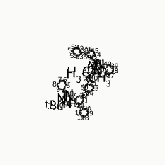 CC(C)(C)c1nc(-c2ccccc2)nc(-c2cc(-c3ccccc3)cc(-c3cccc(CC(C)(C)c4nc(-c5ccccc5)nc(-c5cccc(-c6ccccc6)c5)n4)c3)c2)n1